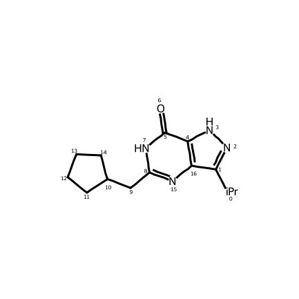 CC(C)c1n[nH]c2c(=O)[nH]c(CC3CCCC3)nc12